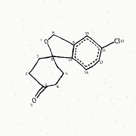 O=C1CCC2(CC1)OCc1cc(Cl)ccc12